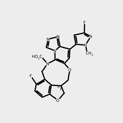 Cn1nc(F)cc1-c1cc2c(n3cnnc13)N(C(=O)O)Cc1c(F)ccc3c1[C@@H](CO3)CO2